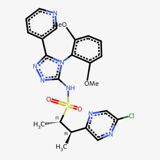 COc1cccc(OC)c1-n1c(NS(=O)(=O)[C@@H](C)[C@H](C)c2cnc(Cl)cn2)nnc1-c1cccnc1